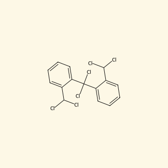 ClC(Cl)c1ccccc1C(Cl)(Cl)c1ccccc1C(Cl)Cl